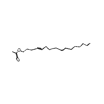 CCCCCCCCCCCC=CCCCOC(C)=O